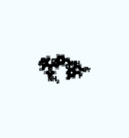 Cc1ccc(C(CCC(C)C)NC(=O)Cc2ccc3oc(C(c4c(C)noc4C)N4CC(N)C4)cc3c2)c(CF)c1